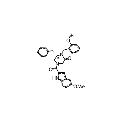 COc1ccc2[nH]c(C(=O)N3CC(=O)N(Cc4ccccc4OC(C)C)[C@@H](Cc4ccccc4)C3)cc2c1